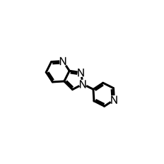 c1cnc2nn(-c3ccncc3)cc2c1